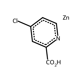 O=C(O)c1cc(Cl)ccn1.[Zn]